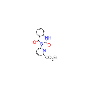 CCOC(=O)c1cccc(-n2c(=O)[nH]c3ccccc3c2=O)n1